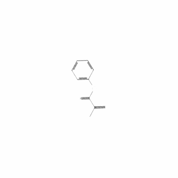 C=C(C)C(=O)Oc1cc[c]cc1